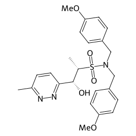 COc1ccc(CN(Cc2ccc(OC)cc2)S(=O)(=O)[C@@H](C)[C@H](O)c2ccc(C)nn2)cc1